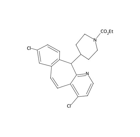 CCOC(=O)N1CCC(C2c3ccc(Cl)cc3C=Cc3c(Cl)ccnc32)CC1